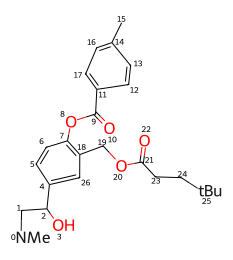 CNCC(O)c1ccc(OC(=O)c2ccc(C)cc2)c(COC(=O)CCC(C)(C)C)c1